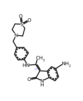 C/C(Nc1ccc(CN2CCS(=O)(=O)CC2)cc1)=C1/C(=O)Nc2ccc(N)cc21